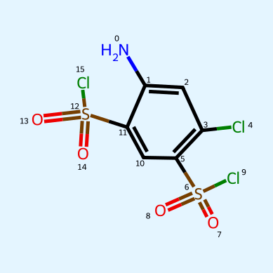 Nc1cc(Cl)c(S(=O)(=O)Cl)cc1S(=O)(=O)Cl